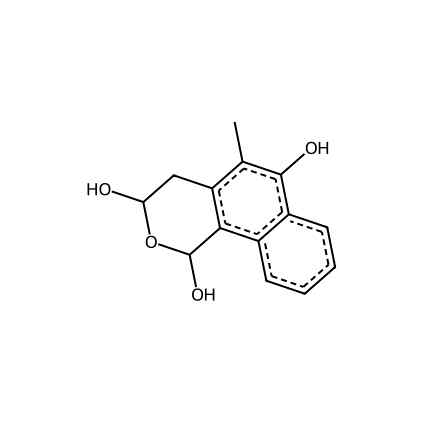 Cc1c2c(c3ccccc3c1O)C(O)OC(O)C2